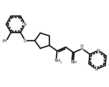 CC(C)c1cccnc1OC1CCC(/C(N)=C/C(=N)Nc2cnccn2)C1